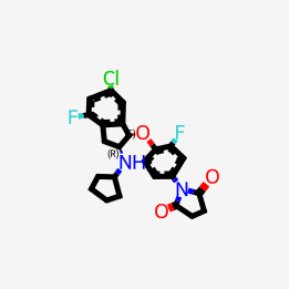 O=C1CCC(=O)N1c1ccc(O[C@H]2c3cc(Cl)cc(F)c3C[C@H]2NC2CCCC2)c(F)c1